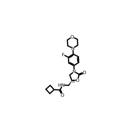 O=C(NC[C@H]1CN(c2ccc(N3CCOCC3)c(F)c2)C(=O)O1)C1CCC1